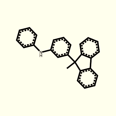 CC1(c2cccc(Nc3ccccc3)c2)c2ccccc2-c2ccccc21